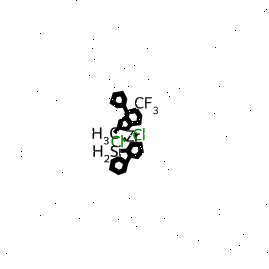 CC1=Cc2c(ccc(C(F)(F)F)c2-c2ccccc2)[CH]1[Zr]([Cl])([Cl])[c]1cccc2c1[SiH2]c1ccccc1-2